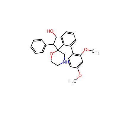 COc1ccc(-c2ccccc2C2(C(CO)c3ccccc3)CNCCO2)c(OC)c1